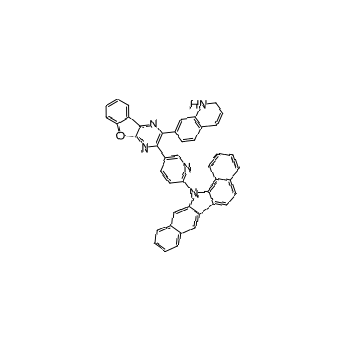 C1=Cc2ccc(-c3nc4c(nc3-c3ccc(-n5c6cc7ccccc7cc6c6ccc7ccccc7c65)nc3)oc3ccccc34)cc2NC1